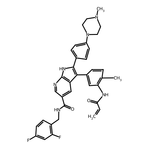 C=CC(=O)Nc1cc(-c2c(-c3ccc(N4CCN(C)CC4)cc3)[nH]c3ncc(C(=O)NCc4ccc(F)cc4F)cc23)ccc1C